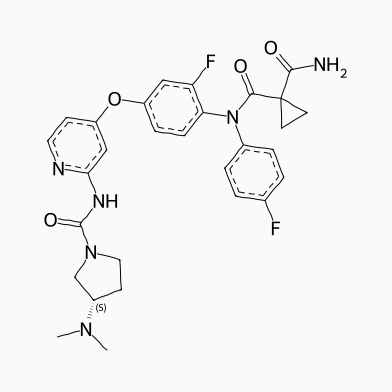 CN(C)[C@H]1CCN(C(=O)Nc2cc(Oc3ccc(N(C(=O)C4(C(N)=O)CC4)c4ccc(F)cc4)c(F)c3)ccn2)C1